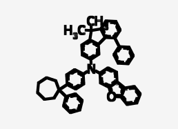 CC1(C)c2ccc(N(c3ccc(C4(c5ccccc5)CCCCCC4)cc3)c3ccc4c(c3)oc3ccccc34)cc2-c2c(-c3ccccc3)cccc21